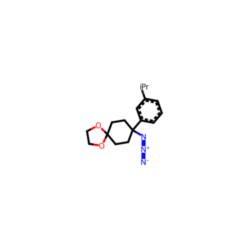 CC(C)c1cccc(C2(N=[N+]=[N-])CCC3(CC2)OCCO3)c1